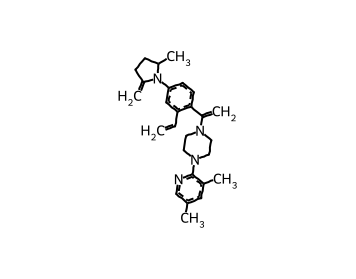 C=Cc1cc(N2C(=C)CCC2C)ccc1C(=C)N1CCN(c2ncc(C)cc2C)CC1